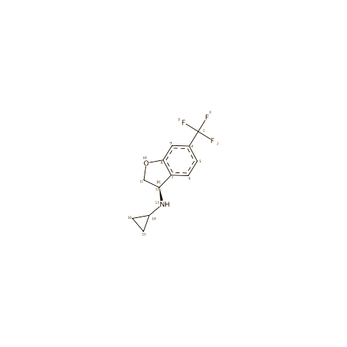 FC(F)(F)c1ccc2c(c1)OC[C@@H]2NC1CC1